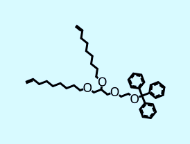 C=CCCCCCCCOCC(COCCOC(c1ccccc1)(c1ccccc1)c1ccccc1)OCCCCCCCC=C